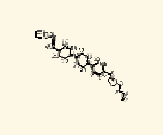 C=CCCOCc1ccc(C2CCC(C3CCC(C=CCC)CC3)CC2)cc1